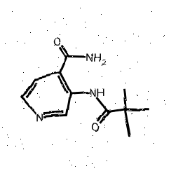 CC(C)(C)C(=O)Nc1cnccc1C(N)=O